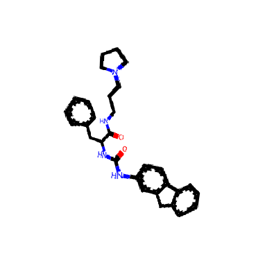 O=C(Nc1ccc2c(c1)Cc1ccccc1-2)NC(Cc1ccccc1)C(=O)NCCCN1CCCC1